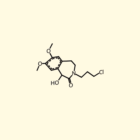 COc1cc2c(cc1OC)C(O)C(=O)N(CCCCl)CC2